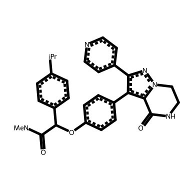 CNC(=O)C(Oc1ccc(-c2c(-c3ccncc3)nn3c2C(=O)NCC3)cc1)c1ccc(C(C)C)cc1